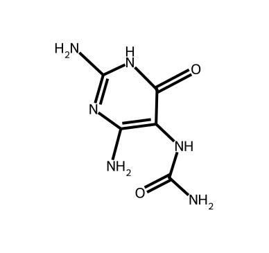 NC(=O)Nc1c(N)nc(N)[nH]c1=O